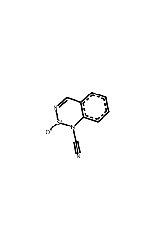 N#CN1c2ccccc2C=N[S+]1[O-]